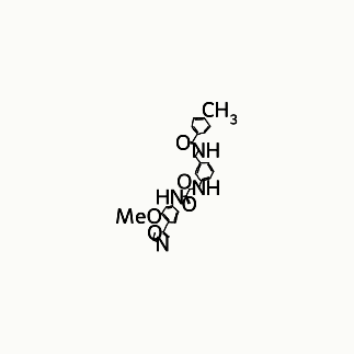 COc1cc(NC(=O)C(=O)Nc2cccc(CNC(=O)c3ccc(C)cc3)c2)ccc1-c1cnco1